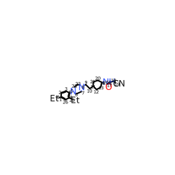 CCc1ccc(N2CCN(CCC3CCC(NC(=O)CC#N)CC3)CC2)c(CC)c1